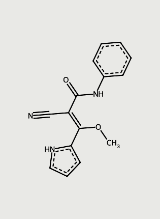 COC(=C(C#N)C(=O)Nc1ccccc1)c1ccc[nH]1